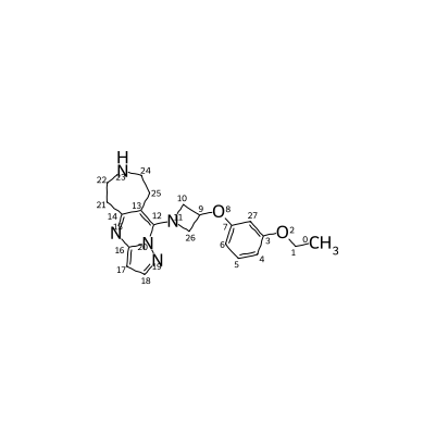 CCOc1cccc(OC2CN(c3c4c(nc5ccnn35)CCNCC4)C2)c1